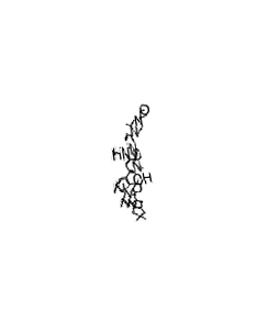 C[C@H]1CN(C2COC2)CCN1c1ccc(Nc2cc(-c3ccnc(-n4cnn5c6c(cc5c4=O)CC(C)(C)C6)c3CO)cn(C)c2=O)nc1